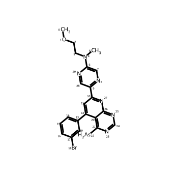 COCCN(C)c1cnc(-c2cc(-c3cccc(Br)c3)c3c([AsH2])ncnc3n2)cn1